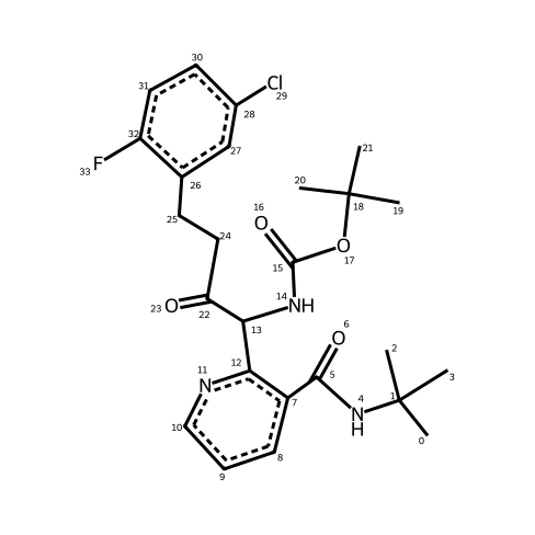 CC(C)(C)NC(=O)c1cccnc1C(NC(=O)OC(C)(C)C)C(=O)CCc1cc(Cl)ccc1F